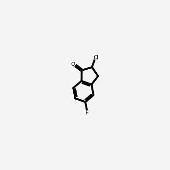 O=C1c2ccc(F)cc2CC1Cl